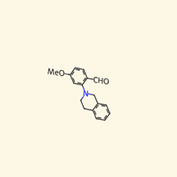 COc1ccc(C=O)c(N2CCc3ccccc3C2)c1